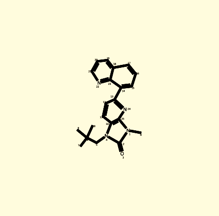 Cn1c(=O)n(CC(C)(C)C)c2ccc(-c3cccc4cccnc34)nc21